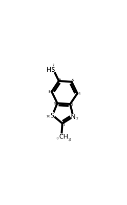 Cc1nc2ccc(S)cc2s1